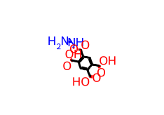 NNOC(=O)c1cc(C(=O)O)c(C(=O)O)cc1C(=O)O